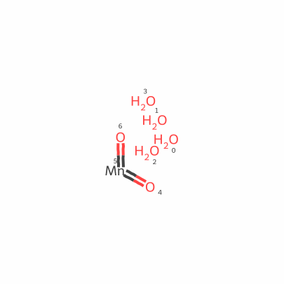 O.O.O.O.[O]=[Mn]=[O]